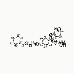 O=C(NO)C1(S(=O)(=O)c2ccc(OCCOCC3CCCCO3)cc2)CCOCC1